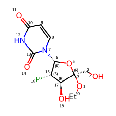 CCO[C@]1(CO)O[C@@H](n2ccc(=O)[nH]c2=O)[C@@H](F)[C@@H]1O